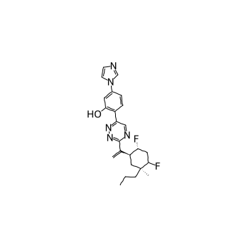 C=C(c1ncc(-c2ccc(-n3ccnc3)cc2O)nn1)[C@@H]1C[C@](C)(CCC)C(F)C[C@H]1F